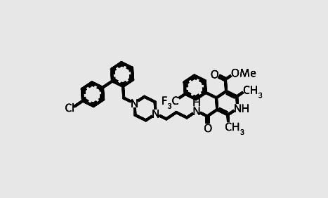 COC(=O)C1=C(C)NC(C)=C(C(=O)NCCCN2CCN(Cc3ccccc3-c3ccc(Cl)cc3)CC2)C1c1cccc(C(F)(F)F)c1